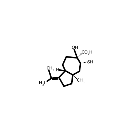 CC(C)=C1CC[C@]2(C)C[C@@H](S)[C@@](O)(C(=O)O)CC[C@@H]12